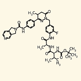 CC1CC(=O)N(Cc2ccc(NC(=O)[C@H](C)NC(=O)[C@@H](NC(=O)OC(C)(C)C)C(C)C)c(F)c2)N=C1c1ccc(NC(=O)N2Cc3ccncc3C2)cc1